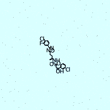 C=C(CCc1nc(-c2ccc(Cl)c(F)c2)no1)NC(=O)[C@H]1C[C@@H](O)c2cc(Cl)ccc2O1